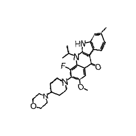 COc1cc2c(=O)c3c4ccc(C)cc4[nH]c3n(C(C)C)c2c(F)c1N1CCC(N2CCOCC2)CC1